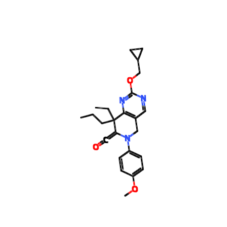 CCCC1(CC)C(=C=O)N(c2ccc(OC)cc2)Cc2cnc(OCC3CC3)nc21